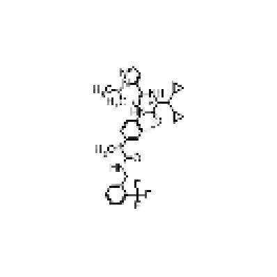 CC(C)n1nccc1C(=O)N[C@H](C(=O)Nc1ccc([C@H](C)C(=O)NCc2ccccc2C(F)(F)F)cc1F)C(C1CC1)C1CC1